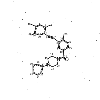 Cc1cc(C)c(C#Cc2cc(C(=O)N3CCN(c4ccccn4)CC3)ccc2C)cc1C